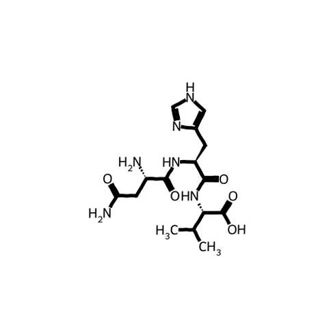 CC(C)[C@H](NC(=O)[C@H](Cc1c[nH]cn1)NC(=O)[C@@H](N)CC(N)=O)C(=O)O